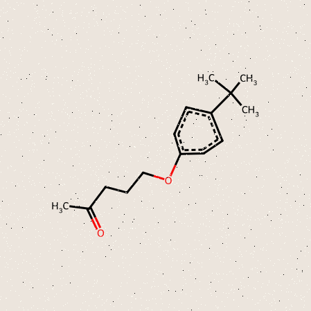 CC(=O)CCCOc1ccc(C(C)(C)C)cc1